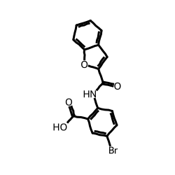 O=C(Nc1ccc(Br)cc1C(=O)O)c1cc2ccccc2o1